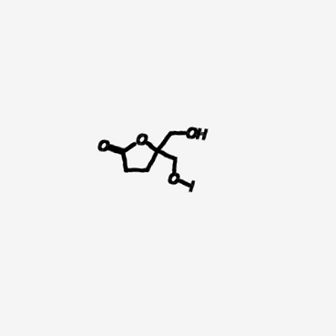 O=C1CCC(CO)(COI)O1